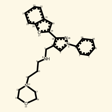 c1ccc(-n2cc(CNCCCN3CCOCC3)c(-c3cc4ccccc4o3)n2)cc1